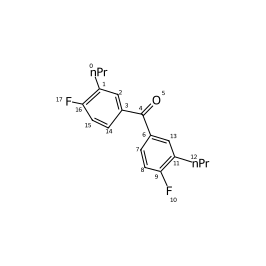 CCCc1cc(C(=O)c2ccc(F)c(CCC)c2)ccc1F